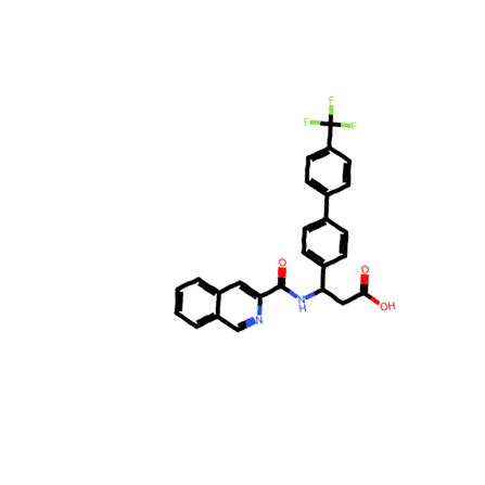 O=C(O)CC(NC(=O)c1cc2ccccc2cn1)c1ccc(-c2ccc(C(F)(F)F)cc2)cc1